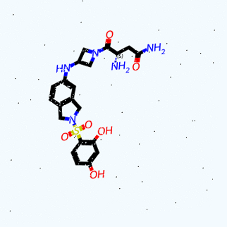 NC(=O)C[C@H](N)C(=O)N1CC(Nc2ccc3c(c2)CN(S(=O)(=O)c2ccc(O)cc2O)C3)C1